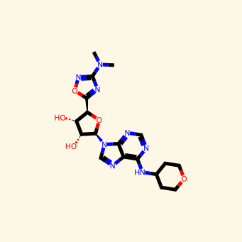 CN(C)c1noc([C@H]2O[C@@H](n3cnc4c(NC5CCOCC5)ncnc43)[C@H](O)[C@@H]2O)n1